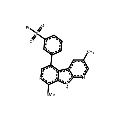 CCS(=O)(=O)c1cccc(-c2cnc(SC)c3[nH]c4ncc(C)cc4c23)c1